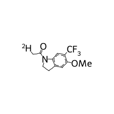 [2H]CC(=O)N1CCc2cc(OC)c(C(F)(F)F)cc21